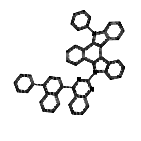 c1ccc(-c2ccc(-c3nc(-n4c5ccccc5c5c6c7ccccc7n(-c7ccccc7)c6c6ccccc6c54)nc4ccccc34)c3ccccc23)cc1